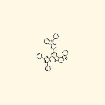 C1=Cc2oc3ccc4sc5c(-c6nc(-c7ccccc7)nc(-c7ccccc7)n6)cc(-c6ccc7c(c6)c6ccccc6n7-c6ccccc6)cc5c4c3c2CC1